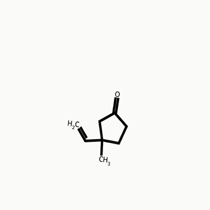 C=CC1(C)CCC(=O)C1